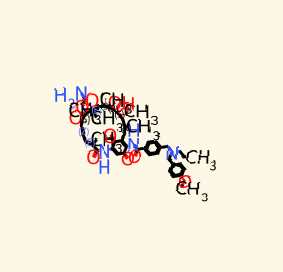 CCCN(Cc1ccc(OC)cc1)Cc1ccc(C(=O)NC2=C3C[C@@H](C)C[C@H](OC)[C@H](O)[C@@H](C)/C=C(\C)[C@H](OC(N)=O)[C@@H](OC)/C=C\C=C(/C)C(=O)NC(=CC2=O)C3=O)cc1